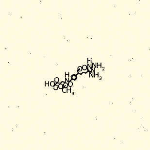 CC(=O)OC(CCC(=O)C(=O)O)NC(=O)c1ccc(C(C=O)CCCc2c(N)nc(N)[nH]c2=O)cc1